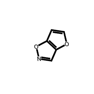 c1cc2oncc2o1